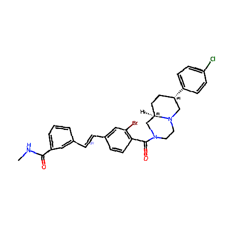 CNC(=O)c1cccc(/C=C/c2ccc(C(=O)N3CCN4C[C@@H](c5ccc(Cl)cc5)CC[C@@H]4C3)c(Br)c2)c1